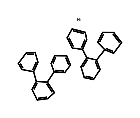 [Ni].c1ccc(-c2ccccc2-c2ccccc2)cc1.c1ccc(-c2ccccc2-c2ccccc2)cc1